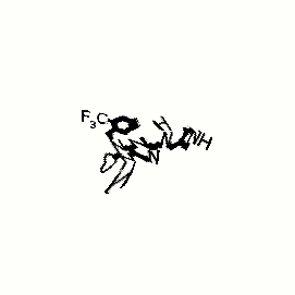 O=c1[nH]c2cnc(NCC3CNC3)nc2n1Cc1ccccc1C(F)(F)F